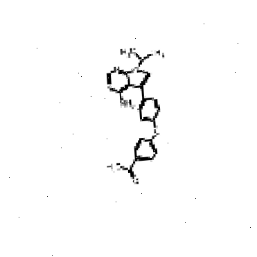 CC(=O)c1ccc(Oc2ccc(-c3cn(C(C)C)c4ncnc(N)c34)cc2)cc1